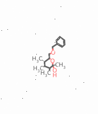 CC1[C@@H](C)[C@H](C)C(COCc2ccccc2)O[C@]1(C)O